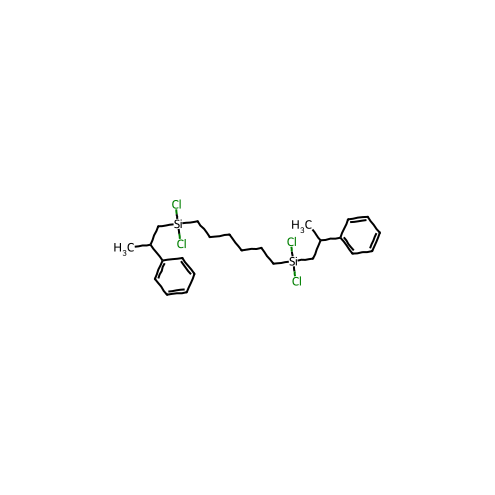 CC(C[Si](Cl)(Cl)CCCCCC[Si](Cl)(Cl)CC(C)c1ccccc1)c1ccccc1